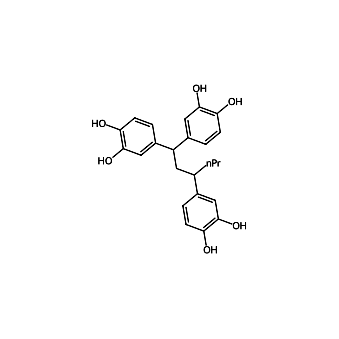 CCCC(CC(c1ccc(O)c(O)c1)c1ccc(O)c(O)c1)c1ccc(O)c(O)c1